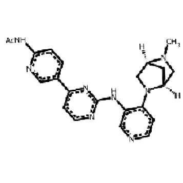 CC(=O)Nc1ccc(-c2ccnc(Nc3cnccc3N3C[C@@H]4C[C@H]3CN4C)n2)cn1